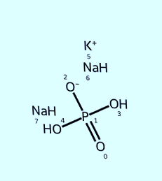 O=P([O-])(O)O.[K+].[NaH].[NaH]